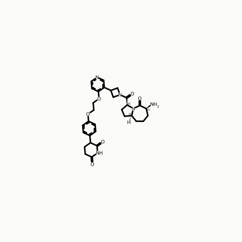 N[C@H]1CCC[C@H]2CC[C@@H](C(=O)N3CC(c4cnccc4OCCOc4ccc(C5CCC(=O)NC5=O)cc4)C3)N2C1=O